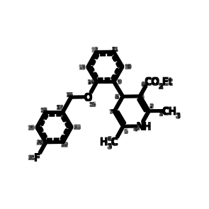 CCOC(=O)C1=C(C)NC(C)=CC1c1ccccc1OCc1ccc(F)cc1